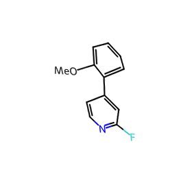 COc1ccccc1-c1ccnc(F)c1